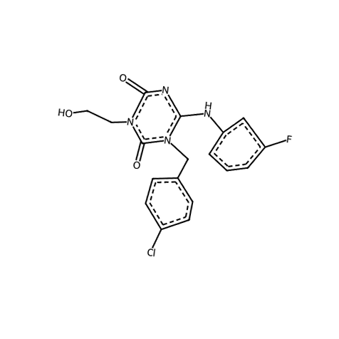 O=c1nc(Nc2cccc(F)c2)n(Cc2ccc(Cl)cc2)c(=O)n1CCO